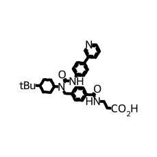 CC(C)(C)C1CCC(N(Cc2ccc(C(=O)NCCC(=O)O)cc2)C(=O)Nc2ccc(-c3cccnc3)cc2)CC1